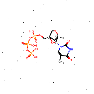 Cc1cn([C@@H]2O[C@@]3(COP(=O)(O)OP(=O)(O)OP(=O)(O)O)CO[C@@H]2C3)c(=O)[nH]c1=O